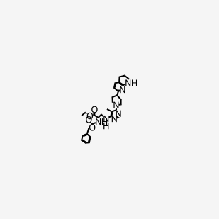 CCOC(=O)C(CNc1ncnc(N2CCC(c3ccc4c(n3)NCCC4)CC2)c1C)NC(=O)OCc1ccccc1